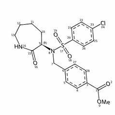 COC(=O)c1ccc(CN([C@@H]2CCCCNC2=O)S(=O)(=O)c2ccc(Cl)cc2)cc1